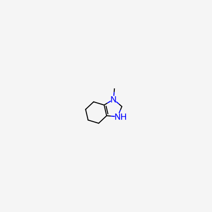 CN1CNC2=C1CCCC2